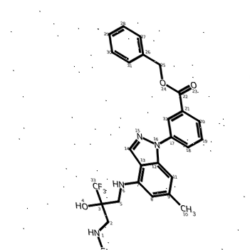 CCNCC(O)(CNc1cc(C)cc2c1cnn2-c1cccc(C(=O)OCc2ccccc2)c1)C(F)(F)F